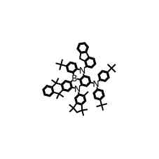 Cc1cc2c(cc1N1c3cc4c(cc3B3c5cc(C(C)(C)C)ccc5N(c5cccc6c5Cc5ccccc5-6)c5cc(N(c6ccc(C(C)(C)C)cc6)c6ccc(C(C)(C)C)cc6)cc1c53)C(C)(C)c1ccccc1C4(C)C)C(C)(C)CC2(C)C